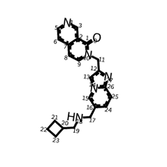 O=c1c2cnccc2ccn1Cc1cn2cc(CNCC3CCC3)ccc2n1